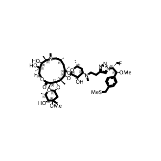 CO[C@H](c1ccc(CSC)cc1)[C@@H](CF)n1cc(CCN(C)[C@H]2C[C@@H](C)O[C@@H](O[C@@H]3[C@@H](C)[C@H](O[C@H]4C[C@@](C)(OC)[C@@H](O)[C@H](C)O4)[C@@H](C)C(=O)O[C@H](I)[C@@](C)(O)[C@H](O)[C@@H](C)N(C)C[C@H](C)C[C@@]3(C)O)[C@@H]2O)nn1